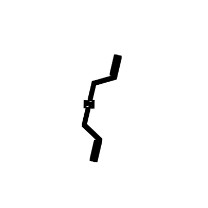 C=C[CH2][Pd][CH2]C=C